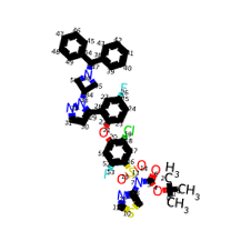 CC(C)(C)OC(=O)N(c1cscn1)S(=O)(=O)c1cc(Cl)c(Oc2ccc(F)cc2-c2ccnn2C2CN(C(c3ccccc3)c3ccccc3)C2)cc1F